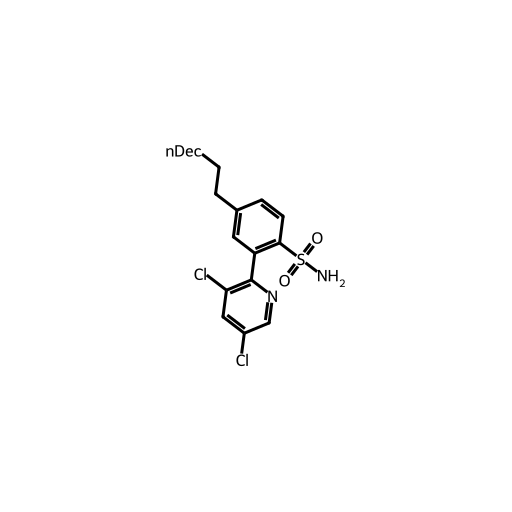 CCCCCCCCCCCCc1ccc(S(N)(=O)=O)c(-c2ncc(Cl)cc2Cl)c1